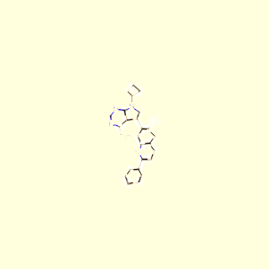 Nc1ncnc2c1c(-c1cc3nc(-c4ccccc4)ccc3cc1Cl)cn2C1=CC=C1